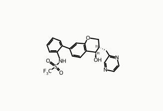 O=S(=O)(Nc1ccccc1-c1ccc2c(c1)OC[C@H](Cc1cnccn1)[C@H]2O)C(F)(F)F